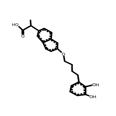 CC(C(=O)O)c1ccc2cc(OCCCCc3cccc(O)c3O)ccc2c1